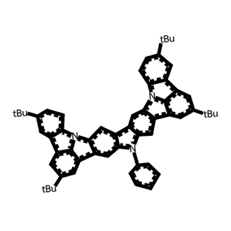 CC(C)(C)c1ccc2c(c1)c1cc(C(C)(C)C)cc3c4cc5c(cc4n2c13)c1cc2c(cc1n5-c1ccccc1)c1cc(C(C)(C)C)cc3c4cc(C(C)(C)C)ccc4n2c31